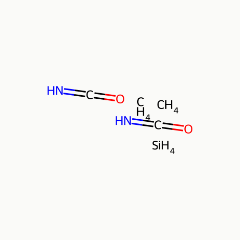 C.C.N=C=O.N=C=O.[SiH4]